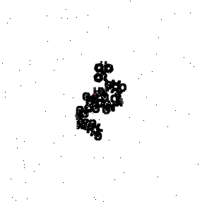 CC1=C(C)C(=O)C(C(C)(C)CC(=O)N(C)CCN(C)C(=O)Oc2ccc3c(c2)Oc2cc(OC(=O)N(C)CCN(C)C(=O)CC(C)(C)C4=C(C)C(=O)C(C)=C(C)C4O)ccc2C32OC(=O)c3ccc(C(=O)NCCCCCC[PH](c4ccccc4)(c4ccccc4)c4ccccc4)cc32)=C(C)C1=O